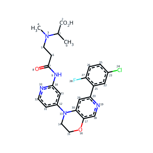 CC(C(=O)O)N(C)CCC(=O)Nc1cc(N2CCOc3cnc(-c4cc(Cl)ccc4F)cc32)ccn1